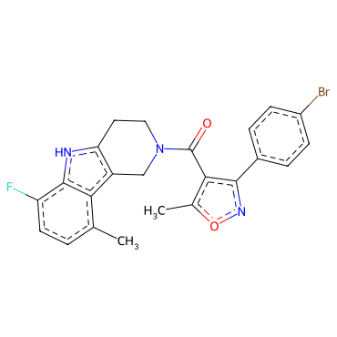 Cc1onc(-c2ccc(Br)cc2)c1C(=O)N1CCc2[nH]c3c(F)ccc(C)c3c2C1